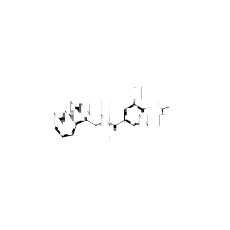 O=C(NCc1nnn2ncccc12)c1cnc(OC(F)F)c(Cl)c1